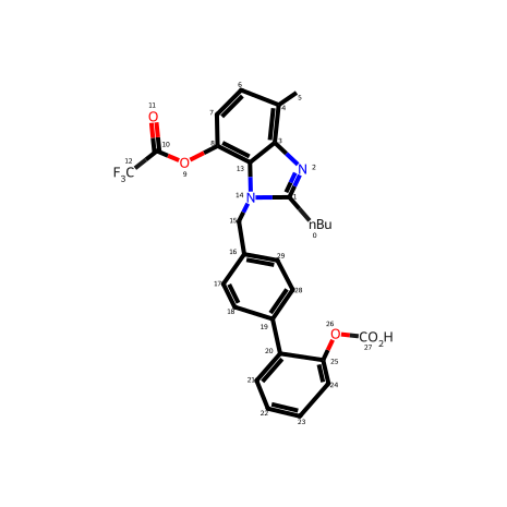 CCCCc1nc2c(C)ccc(OC(=O)C(F)(F)F)c2n1Cc1ccc(-c2ccccc2OC(=O)O)cc1